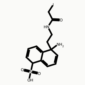 NC1(CCNC(=O)CI)C=CC=C2C1=CC=CC2S(=O)(=O)O